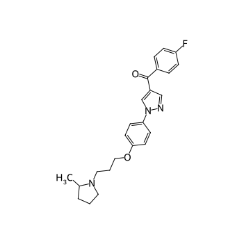 CC1CCCN1CCCOc1ccc(-n2cc(C(=O)c3ccc(F)cc3)cn2)cc1